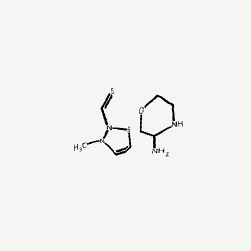 CN1C=CSN1C=S.NC1COCCN1